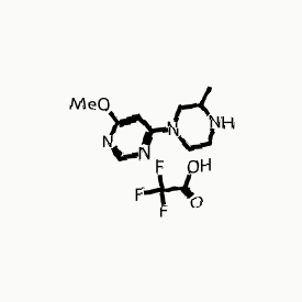 COc1cc(N2CCNC(C)C2)ncn1.O=C(O)C(F)(F)F